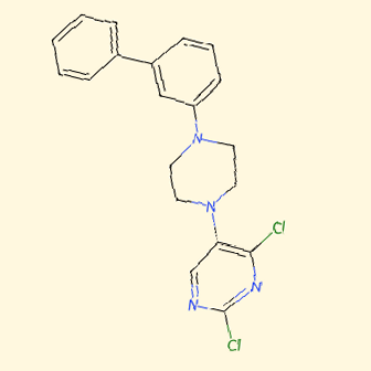 Clc1ncc(N2CCN(c3cccc(-c4ccccc4)c3)CC2)c(Cl)n1